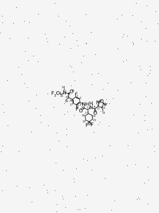 Cc1cc(NC(=O)[C@@H](NC(=O)c2nonc2C)C2CCC(F)(F)CC2)c(F)cc1C(C)C(=O)N(C)CC(F)(F)F